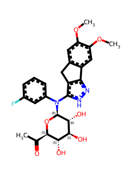 COc1cc2c(cc1OC)-c1n[nH]c(N(c3cccc(F)c3)[C@@H]3O[C@H](C(C)=O)[C@@H](O)[C@H](O)[C@H]3O)c1C2